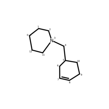 [CH]1CCN(CC2CC=CCC2)CC1